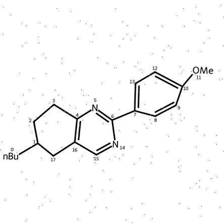 CCCCC1CCc2nc(-c3ccc(OC)cc3)ncc2C1